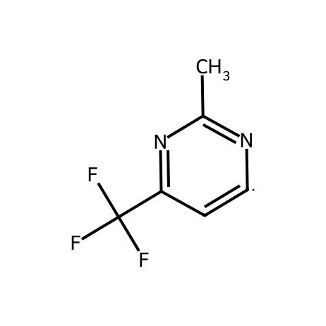 Cc1n[c]cc(C(F)(F)F)n1